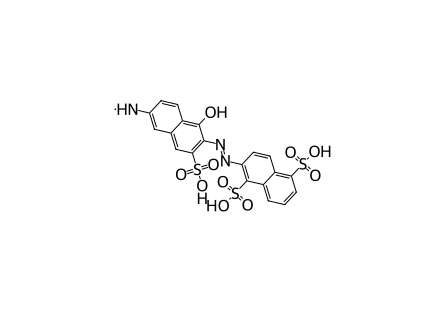 [NH]c1ccc2c(O)c(N=Nc3ccc4c(S(=O)(=O)O)cccc4c3S(=O)(=O)O)c(S(=O)(=O)O)cc2c1